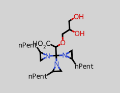 CCCCCC1CN1C(C(OCC(O)CO)C(=O)O)(N1CC1CCCCC)N1CC1CCCCC